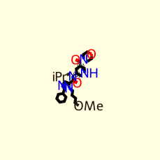 COCCCCn1c(C(=O)N(CC(C)C)[C@@H]2CNC[C@H](C(=O)N3CCOCC3)C2)cnc1C1CCCCC1